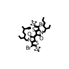 C#CC(C)CCC(CC)CN1C(=O)C(=C2C(=O)N(CC(CC)CCCC)c3c2sc([Si](C)(C)C)c3Br)c2sc([Si](C)(C)C)c(Br)c21